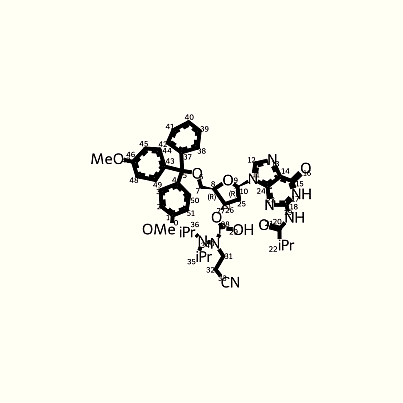 COc1ccc(C(OC[C@H]2O[C@@H](n3cnc4c(=O)[nH]c(NC(=O)C(C)C)nc43)C[C@@H]2OP(O)N(CCC#N)N(C(C)C)C(C)C)(c2ccccc2)c2ccc(OC)cc2)cc1